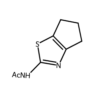 CC(=O)Nc1nc2c(s1)CCC2